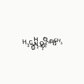 CC(=O)NCc1ccc(C(=O)COC(C)=O)o1